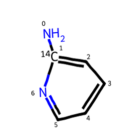 N[14c]1ccccn1